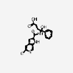 O=C(O)CCC(O)(NC(=O)c1cc2cc(Cl)ncc2[nH]1)c1ccccc1